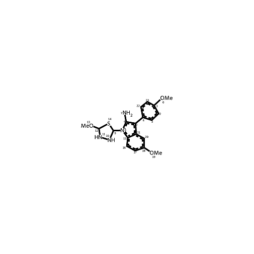 COc1ccc(-c2c(N)n(C3NNC(OC)S3)c3ccc(OC)cc23)cc1